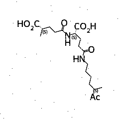 CC(=O)[C@@H](C)CCCCNC(=O)CC[C@H](NC(=O)CC[C@H](C)C(=O)O)C(=O)O